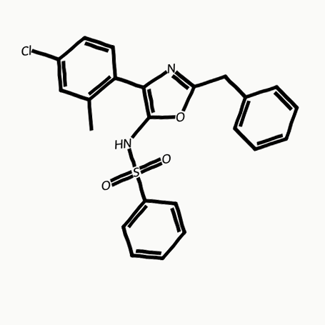 Cc1cc(Cl)ccc1-c1nc(Cc2ccccc2)oc1NS(=O)(=O)c1ccccc1